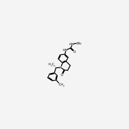 Cc1cccc([C@H](C)N2C(=O)CCc3cc(NC(=O)NC(C)(C)C)ccc32)c1